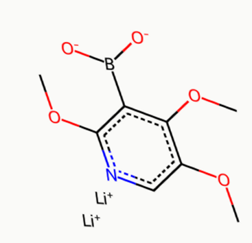 COc1cnc(OC)c(B([O-])[O-])c1OC.[Li+].[Li+]